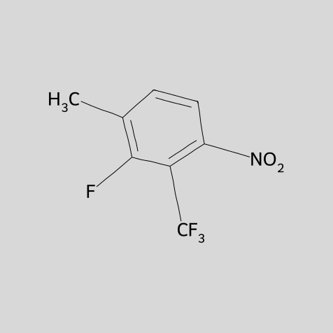 Cc1ccc([N+](=O)[O-])c(C(F)(F)F)c1F